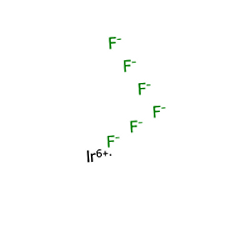 [F-].[F-].[F-].[F-].[F-].[F-].[Ir+6]